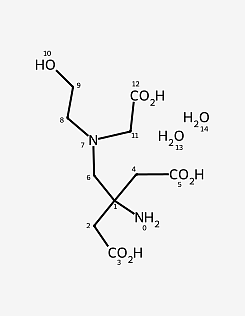 NC(CC(=O)O)(CC(=O)O)CN(CCO)CC(=O)O.O.O